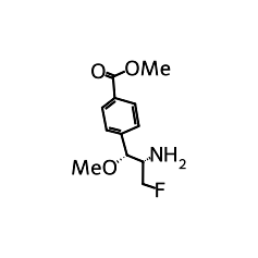 COC(=O)c1ccc([C@@H](OC)[C@H](N)CF)cc1